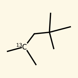 C[13CH](C)CC(C)(C)C